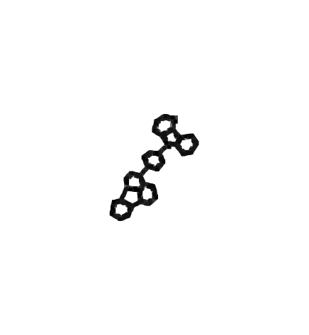 c1ccc2c(c1)-c1cccc3c(-c4ccc(-n5c6ccccc6c6ncccc65)cc4)ccc-2c13